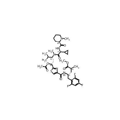 COC(=O)[C@@H](C)C[C@H](Cc1c(F)cc(F)cc1F)NC(=O)c1csc([C@@H](C[C@H](C(C)C)N(C)C(=O)[C@@H](NC(=O)[C@H]2CCCCN2C)C2CC2)OC(C)=O)n1